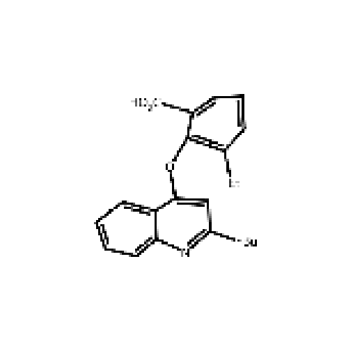 CCCCc1cc(Oc2c(CC)cccc2C(=O)O)c2ccccc2n1